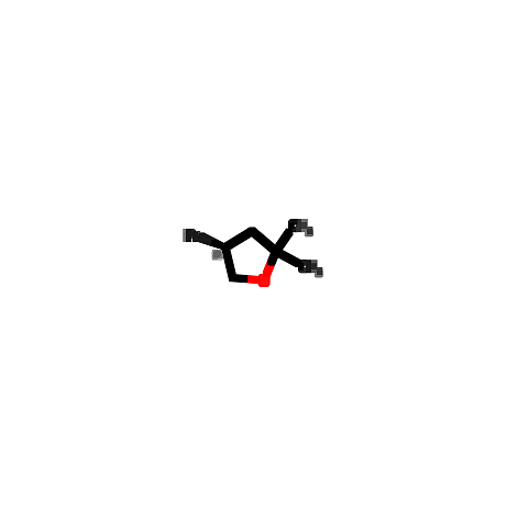 CC(C)[C@@H]1COC(C)(C)C1